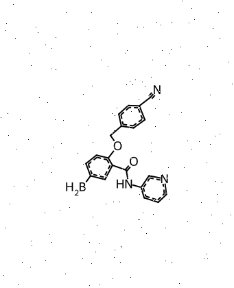 Bc1ccc(OCc2ccc(C#N)cc2)c(C(=O)Nc2cccnc2)c1